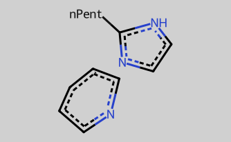 CCCCCc1ncc[nH]1.c1ccncc1